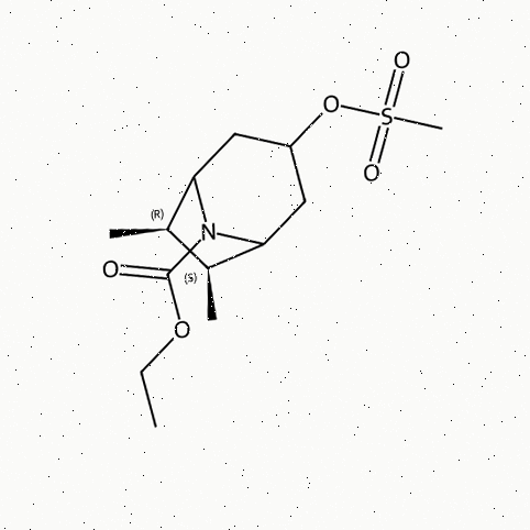 CCOC(=O)N1C2CC(OS(C)(=O)=O)CC1[C@H](C)[C@@H]2C